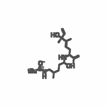 C=C[C@@](C)(O)/C(C)=C/CC(NC(O)CCC(C)CN[S+]([O-])C(C)(C)C)C(=C)C